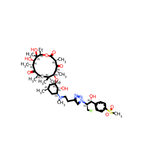 CC[C@H]1OC(=O)[C@H](C)C(=O)[C@H](C)[C@@H](O[C@@H]2C[C@H](C)C[C@H](N(C)CCc3cn([C@H](CF)[C@H](O)c4ccc(S(C)(=O)=O)cc4)nn3)[C@H]2O)[C@](C)(OC)C[C@@H](C)C(=O)[C@H](C)[C@@H](O)[C@]1(C)O